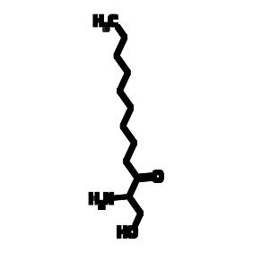 CCCCCCCCCC(=O)C(N)CO